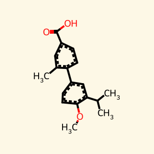 COc1ccc(-c2ccc(C(=O)O)cc2C)cc1C(C)C